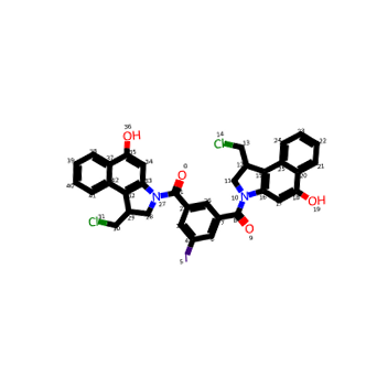 O=C(c1cc(I)cc(C(=O)N2CC(CCl)c3c2cc(O)c2ccccc32)c1)N1CC(CCl)c2c1cc(O)c1ccccc21